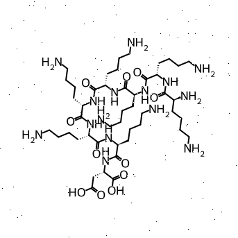 NCCCC[C@H](NC(=O)[C@H](CCCCN)NC(=O)[C@H](CCCCN)NC(=O)[C@H](CCCCN)NC(=O)[C@H](CCCCN)NC(=O)[C@H](CCCCN)NC(=O)[C@@H](N)CCCCN)C(=O)N[C@@H](CC(=O)O)C(=O)O